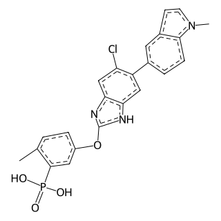 Cc1ccc(Oc2nc3cc(Cl)c(-c4ccc5c(ccn5C)c4)cc3[nH]2)cc1P(=O)(O)O